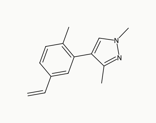 C=Cc1ccc(C)c(-c2cn(C)nc2C)c1